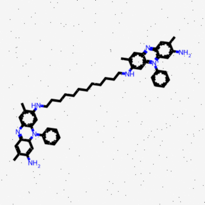 CC1=CC2=Nc3cc(C)c(NCCCCCCCCCCCCNc4cc5c(cc4C)nc4cc(C)c(N)cc4[n+]5-c4ccccc4)cc3N(c3ccccc3)C2C=C1N